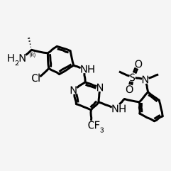 C[C@@H](N)c1ccc(Nc2ncc(C(F)(F)F)c(NCc3ccccc3N(C)S(C)(=O)=O)n2)cc1Cl